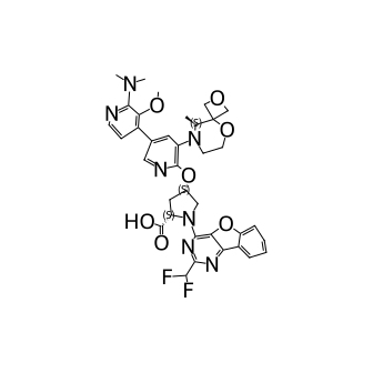 COc1c(-c2cnc(O[C@H]3C[C@@H](C(=O)O)N(c4nc(C(F)F)nc5c4oc4ccccc45)C3)c(N3CCOC4(COC4)[C@@H]3C)c2)ccnc1N(C)C